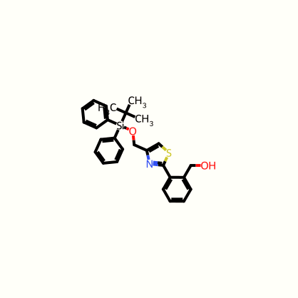 CC(C)(C)[Si](OCc1csc(-c2ccccc2CO)n1)(c1ccccc1)c1ccccc1